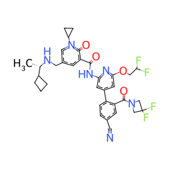 C[C@H](NCc1cc(C(=O)Nc2cc(-c3ccc(C#N)cc3C(=O)N3CC(F)(F)C3)cc(OCC(F)F)n2)c(=O)n(C2CC2)c1)C1CCC1